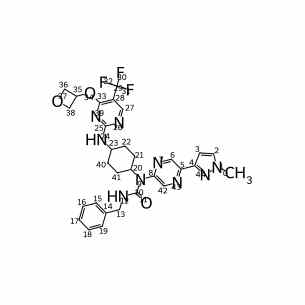 Cn1ccc(-c2cnc(N(C(=O)NCc3ccccc3)C3CCC(Nc4ncc(C(F)(F)F)c(OC5COC5)n4)CC3)cn2)n1